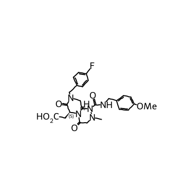 COc1ccc(CNC(=O)N2[C@H]3CN(Cc4ccc(F)cc4)C(=O)[C@H](CC(=O)O)N3C(=O)CN2C)cc1